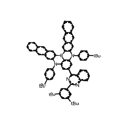 CC(C)(C)c1ccc(N2c3cc4cc5ccccc5cc4cc3B3c4cc5cc6ccccc6cc5cc4N(c4ccc(C(C)(C)C)cc4)c4cc(-c5nc(-c6cc(C(C)(C)C)cc(C(C)(C)C)c6)nc6ccccc56)cc2c43)cc1